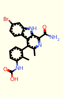 Cc1nc(C(N)=O)c2[nH]c3cc(Br)ccc3c2c1-c1cccc(NC(=O)O)c1C